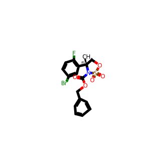 C[C@@]1(c2cc(Br)ccc2F)COS(=O)(=O)N1C(=O)OCc1ccccc1